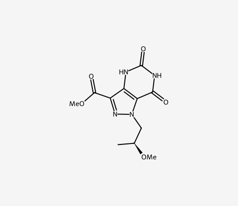 COC(=O)c1nn(C[C@H](C)OC)c2c(=O)[nH]c(=O)[nH]c12